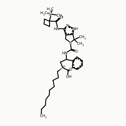 CCCCCCCCCC[C@@H](CC(NC(=O)N1Cc2c(NC(=O)C3([Si](C)(C)C)CCC3)n[nH]c2C1(C)C)c1ccccc1)C(=O)O